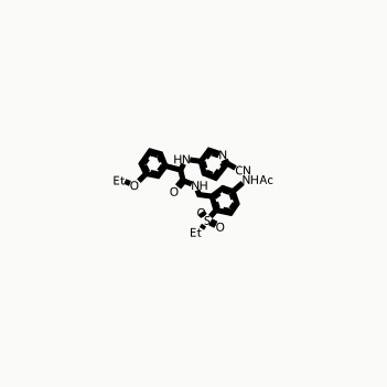 CCOc1cccc(C(Nc2ccc(C#N)nc2)C(=O)NCc2cc(NC(C)=O)ccc2S(=O)(=O)CC)c1